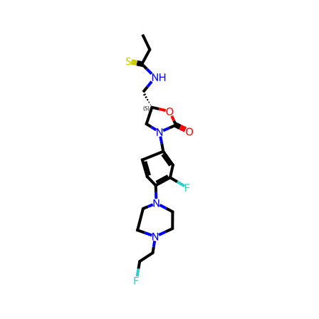 CCC(=S)NC[C@H]1CN(c2ccc(N3CCN(CCF)CC3)c(F)c2)C(=O)O1